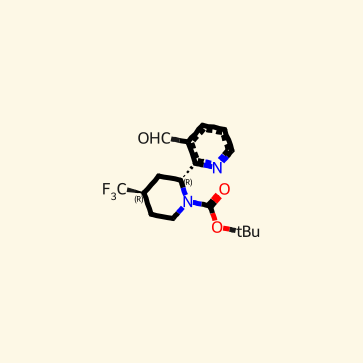 CC(C)(C)OC(=O)N1CC[C@@H](C(F)(F)F)C[C@@H]1c1ncccc1C=O